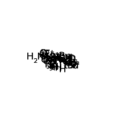 CCC(NC(=O)[C@@H]1[C@@H]2[C@H](CN1C(=O)[C@@H](NC(=O)N[C@H](CN(C)S(=O)(=O)c1ccccc1)CC(C)(C)C)C(C)(C)C)C2(C)C)C(=O)C(N)=O